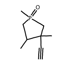 C#CC1(C)CP(C)(=O)CC1C